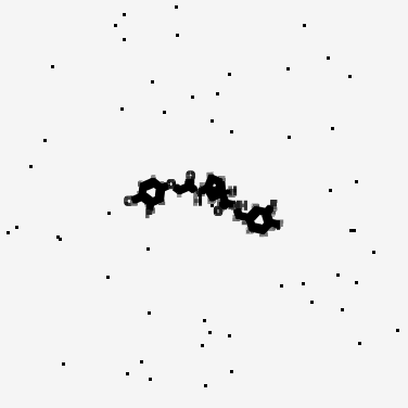 O=C(COc1ccc(Cl)c(F)c1)NC12CC(C1)[C@H](C(=O)NCc1ccc(F)c(F)c1)C2